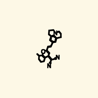 CC1CCCC2=C1OC(/C=C/c1cc3c4c(c1)CCCN4CCC3)=CC2=C(C#N)C#N